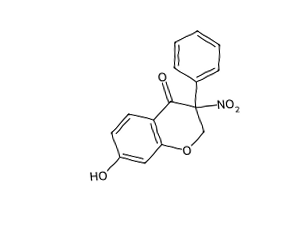 O=C1c2ccc(O)cc2OCC1(c1ccccc1)[N+](=O)[O-]